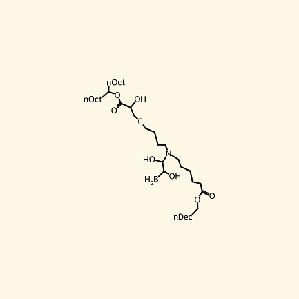 BC(O)C(O)N(CCCCCCC(O)C(=O)OC(CCCCCCCC)CCCCCCCC)CCCCCC(=O)OCCCCCCCCCCC